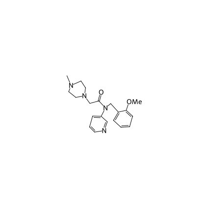 COc1ccccc1CN(C(=O)CN1CCN(C)CC1)c1cccnc1